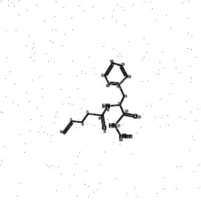 C=CCCC(=O)NC(Cc1ccccc1)C(=O)NCCCCCCCCC